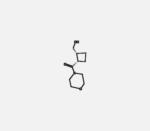 O=C([C@H]1CC[C@H]1CO)N1CCOCC1